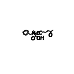 CC(=O)CCCCC[C@@H](C(=O)O)N(C)Cc1ccccc1